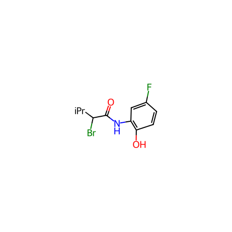 CC(C)C(Br)C(=O)Nc1cc(F)ccc1O